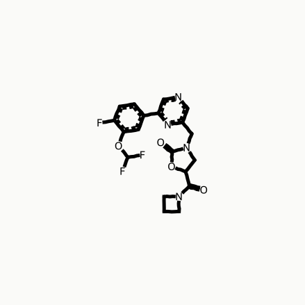 O=C1OC(C(=O)N2CCC2)CN1Cc1cncc(-c2ccc(F)c(OC(F)F)c2)n1